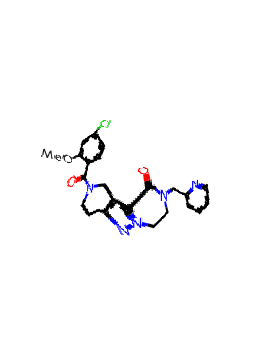 COc1cc(Cl)ccc1C(=O)N1CCc2nn3c(c2C1)C(=O)N(Cc1ccccn1)CC3